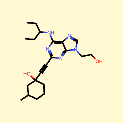 CCC(CC)Nc1nc(C#CC2(O)CCCC(C)C2)nc2c1ncn2CCO